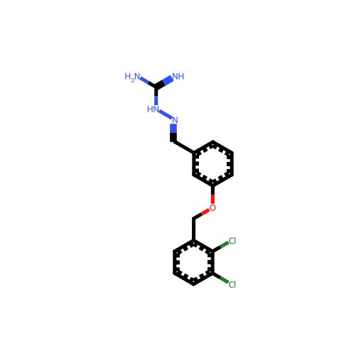 N=C(N)N/N=C/c1cccc(OCc2cccc(Cl)c2Cl)c1